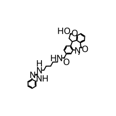 CN1C(=O)c2ccccc2C(CC(=O)O)c2ccc(C(=O)NCCCCCNc3nc4ccccc4[nH]3)cc21